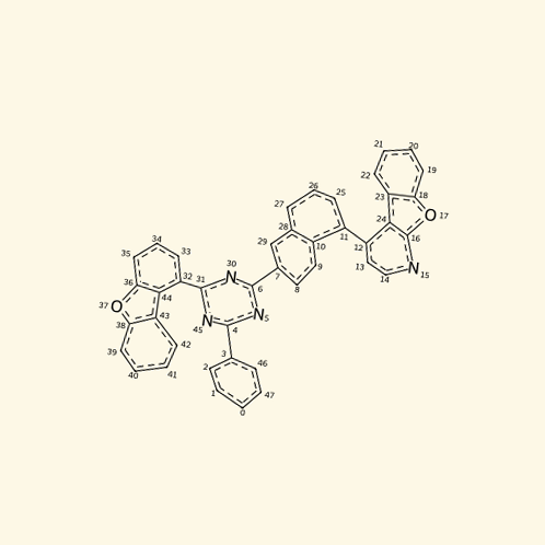 c1ccc(-c2nc(-c3ccc4c(-c5ccnc6oc7ccccc7c56)cccc4c3)nc(-c3cccc4oc5ccccc5c34)n2)cc1